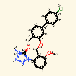 COc1cccc(-n2nnn(C)c2=O)c1COc1cc(-c2ccc(Cl)cc2)ccc1C